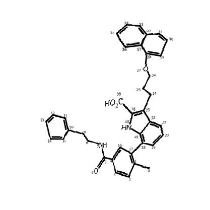 Cc1ccc(C(=O)NCCc2ccccc2)cc1-c1cccc2c(CCCOc3cccc4ccccc34)c(C(=O)O)[nH]c12